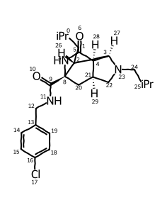 CC(C)C[C@@H]1[C@@H]2[C@@H]3C(=O)N[C@@]1(C(=O)NCc1ccc(Cl)cc1)C[C@@H]3CN2CC(C)C